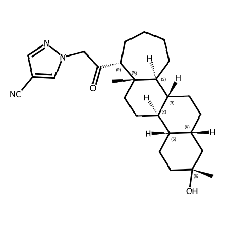 C[C@@]1(O)CC[C@H]2[C@H](CC[C@@H]3[C@@H]2CC[C@]2(C)[C@H](C(=O)Cn4cc(C#N)cn4)CCCC[C@@H]32)C1